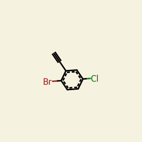 C#Cc1cc(Cl)ccc1Br